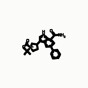 CC(C)(C)[N+]1(C(=O)[O-])CCC(c2c[nH]c3c(C(N)=O)cc(-c4ccccc4)cc23)C1